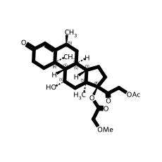 COCC(=O)O[C@]1(C(=O)COC(C)=O)CC[C@H]2[C@@H]3C[C@H](C)C4=CC(=O)CC[C@]4(C)[C@H]3[C@@H](O)C[C@@]21C